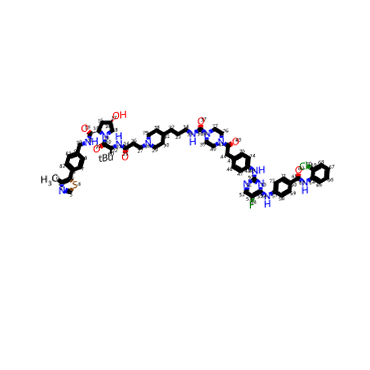 Cc1ncsc1-c1ccc(CNC(=O)[C@@H]2C[C@@H](O)CN2C(=O)[C@@H](NC(=O)CCN2CCC(CCCNC(=O)N3CCN(C(=O)Cc4ccc(Nc5ncc(F)c(Nc6ccc(C(=O)Nc7ccccc7Cl)cc6)n5)cc4)CC3)CC2)C(C)(C)C)cc1